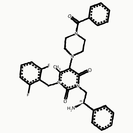 Cc1c(N2CCN(C(=O)c3ccccc3)CC2)c(=O)n(C[C@H](N)c2ccccc2)c(=O)n1Cc1c(F)cccc1F